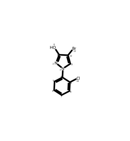 Oc1nn(-c2ccccc2Cl)cc1Br